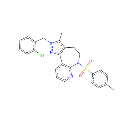 Cc1ccc(S(=O)(=O)N2CCc3c(nn(Cc4ccccc4Cl)c3C)-c3cccnc32)cc1